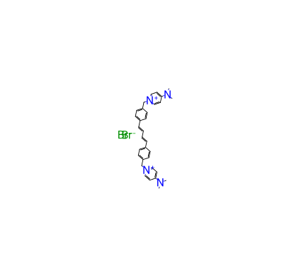 CN(C)c1cc[n+](Cc2ccc(/C=C/C=C/c3ccc(C[n+]4ccc(N(C)C)cc4)cc3)cc2)cc1.[Br-].[Br-]